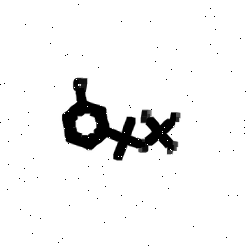 CC(C)(SC(F)(F)F)c1[c]ccc(Cl)c1